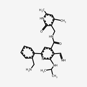 Cc1cc(C)c(CNC(=O)c2cc(-c3ccccc3CN)nc(NC(C)C)c2C=N)c(=O)[nH]1